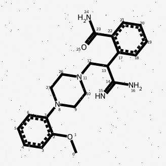 COc1ccccc1N1CCN(CC(C(=N)N)c2ccccc2C(N)=O)CC1